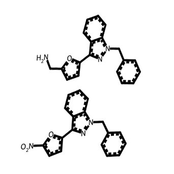 NCc1ccc(-c2nn(Cc3ccccc3)c3ccccc23)o1.O=[N+]([O-])c1ccc(-c2nn(Cc3ccccc3)c3ccccc23)o1